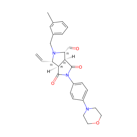 C=C[C@H]1[C@@H]2C(=O)N(c3ccc(N4CCOCC4)cc3)C(=O)[C@@H]2[C@@H](C=O)N1Cc1cccc(C)c1